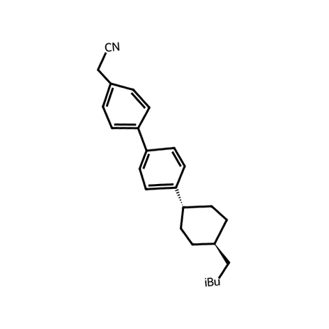 CCC(C)C[C@H]1CC[C@H](c2ccc(-c3ccc(CC#N)cc3)cc2)CC1